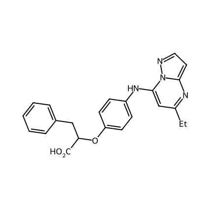 CCc1cc(Nc2ccc(OC(Cc3ccccc3)C(=O)O)cc2)n2nccc2n1